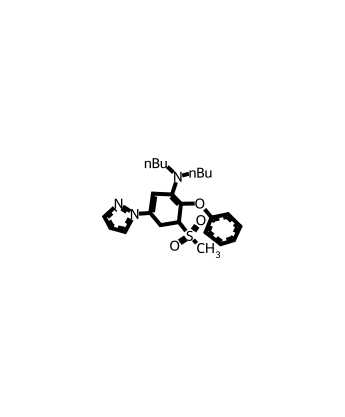 CCCCN(CCCC)C1=C(Oc2ccccc2)C(S(C)(=O)=O)CC(n2cccn2)=C1